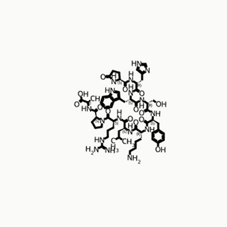 CC(C)C[C@H](NC(=O)[C@@H](CCCCN)NC(=O)[C@H](Cc1ccc(O)cc1)NC(=O)[C@@H](CO)NC(=O)[C@H](Cc1c[nH]c2ccccc12)NC(=O)[C@@H](Cc1c[nH]cn1)NC(=O)[C@@H]1CCC(=O)N1)C(=O)N[C@@H](CCCNC(=N)N)C(=O)N1CCC[C@H]1C(=O)N[C@H](C)C(=O)O